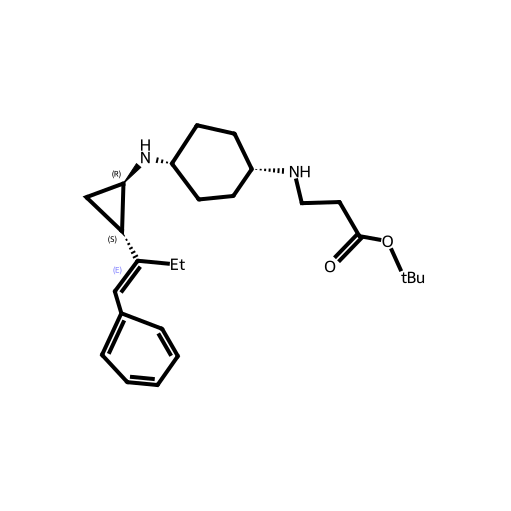 CC/C(=C\c1ccccc1)[C@@H]1C[C@H]1N[C@H]1CC[C@@H](NCCC(=O)OC(C)(C)C)CC1